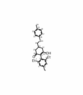 CCc1cc(C)cc(CC)c1C1=C(O)CC(CSc2ccc(C)cc2)CC1=O